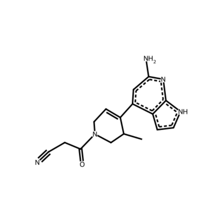 CC1CN(C(=O)CC#N)CC=C1c1cc(N)nc2[nH]ccc12